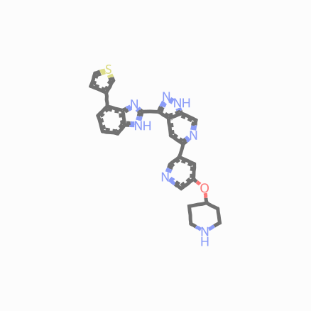 c1cc(-c2ccsc2)c2nc(-c3n[nH]c4cnc(-c5cncc(OC6CCNCC6)c5)cc34)[nH]c2c1